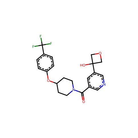 O=C(c1cncc(C2(O)COC2)c1)N1CCC(Oc2ccc(C(F)(F)F)cc2)CC1